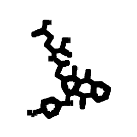 Cc1ccc(Nc2cc(CC(=O)NC(CCC(=O)O)C(=O)O)c([O])c3c2C(=O)c2ccccc2C3=O)cc1